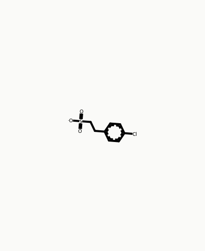 [O]S(=O)(=O)CCc1ccc(Cl)cc1